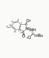 CCCCC(=O)NN1C(=O)c2ccc(C)cc2C1=O